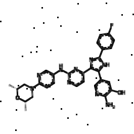 C[C@@H]1CN(c2ccc(Nc3nccc(-c4nc(-c5ccc(F)cc5)[nH]c4-c4cnc(N)c(O)c4)n3)cn2)C[C@H](C)O1